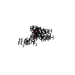 CC(C)(CC(=O)N(c1nn(CC(F)(F)F)c2c(-c3ccc(C#CC(C)(C)S(C)(=O)=O)nc3[C@H](Cc3cc(F)cc(F)c3)NC(=O)Cn3nc(C(F)(F)F)c4c3C(F)(F)[C@@H]3CC[C@H]43)ccc(Cl)c12)S(C)(=O)=O)c1c(OP(=O)(O)O)cc(C(=O)O)cc1C(=O)O